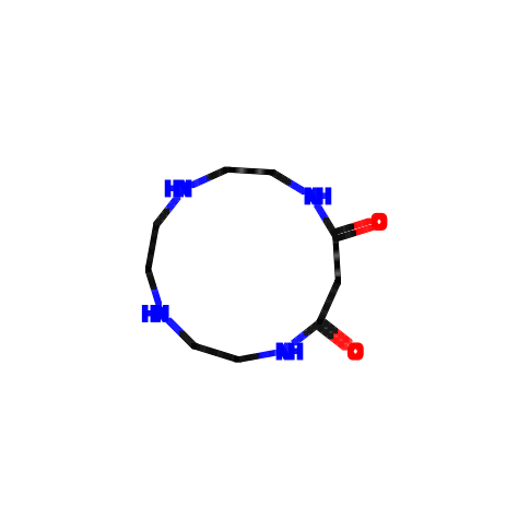 O=C1CC(=O)NCCNCCNCCN1